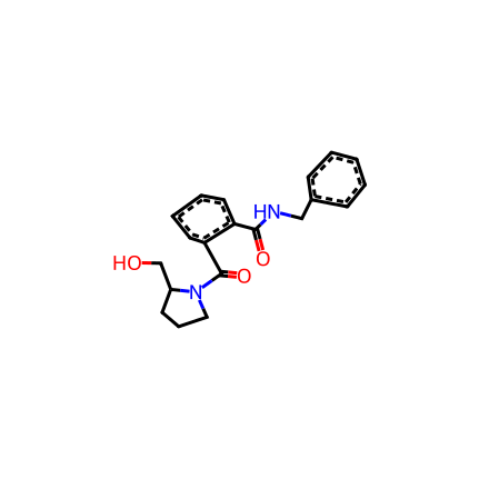 O=C(NCc1ccccc1)c1ccccc1C(=O)N1CCCC1CO